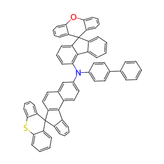 c1ccc(-c2ccc(N(c3ccc4c5c(ccc4c3)C3(c4ccccc4Sc4ccccc43)c3ccccc3-5)c3cccc4c3-c3ccccc3C43c4ccccc4Oc4ccccc43)cc2)cc1